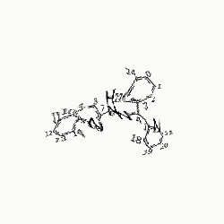 c1ccc(/C(=N\Nc2ccc3ccccc3n2)c2ccccn2)cc1